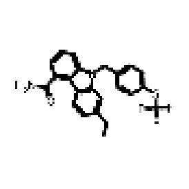 CCc1c[c]c2c3c(C(N)=O)cccc3n(Cc3ccc(SC(F)(F)F)cc3)c2c1